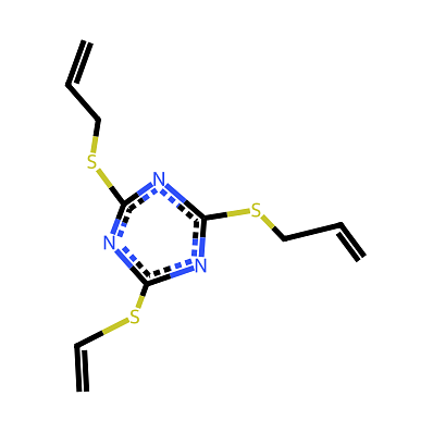 C=CCSc1nc(SC=C)nc(SCC=C)n1